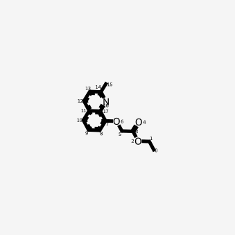 CCOC(=O)COc1cccc2ccc(C)nc12